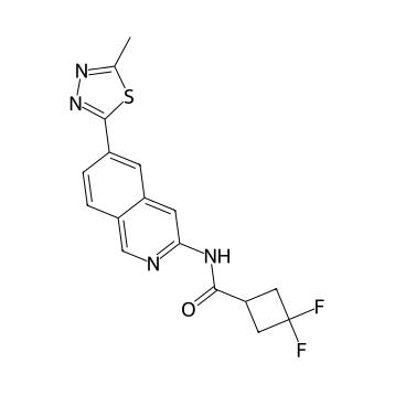 Cc1nnc(-c2ccc3cnc(NC(=O)C4CC(F)(F)C4)cc3c2)s1